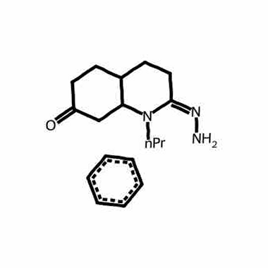 CCCN1C(=NN)CCC2CCC(=O)CC21.c1ccccc1